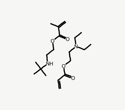 C=C(C)C(=O)OCCNC(C)(C)C.C=CC(=O)OCCN(CC)CC